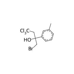 Cc1cccc(C(O)(CBr)CC(Cl)(Cl)Cl)c1